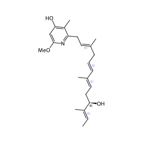 C/C=C(\C)[C@H](O)C/C=C(C)/C=C/C/C(C)=C/Cc1nc(OC)cc(O)c1C